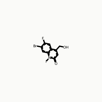 O=c1cc(CO)c2cc(F)c(Br)cc2n1I